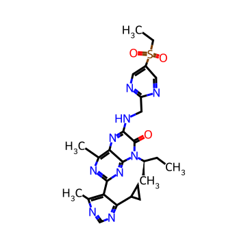 CC[C@@H](C)n1c(=O)c(NCc2ncc(S(=O)(=O)CC)cn2)nc2c(C)nc(-c3c(C)ncnc3C3CC3)nc21